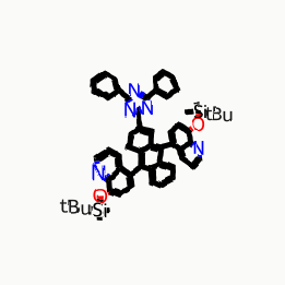 CC(C)(C)[Si](C)(C)Oc1ccc(-c2c3ccccc3c(-c3ccc(O[Si](C)(C)C(C)(C)C)c4ncccc34)c3cc(-c4nc(-c5ccccc5)nc(-c5ccccc5)n4)ccc23)c2cccnc12